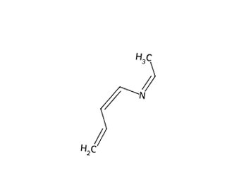 C=C/C=C\N=C/C